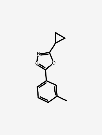 Cc1cccc(-c2nnc(C3CC3)o2)c1